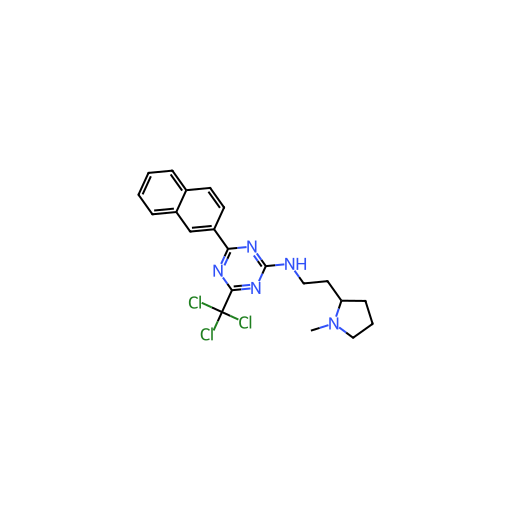 CN1CCCC1CCNc1nc(-c2ccc3ccccc3c2)nc(C(Cl)(Cl)Cl)n1